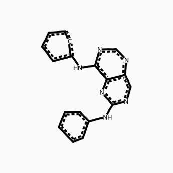 c1ccc(Nc2ncc3ncnc(Nc4ccccc4)c3n2)cc1